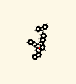 c1ccc2c(c1)ccc1ccc(-c3nc4ccccc4nc3-n3c4ccccc4c4cc5ccc(-n6c7ccccc7c7ccccc76)cc5cc43)cc12